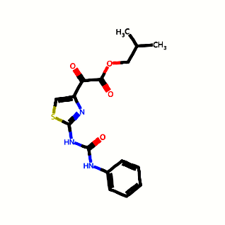 CC(C)COC(=O)C(=O)c1csc(NC(=O)Nc2ccccc2)n1